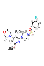 C[C@@H]1COCCN1c1cc(OC(C)(C)C)nc(N2CCN(S(=O)(=O)Cc3ccc(F)cc3)CC2C(F)(F)F)c1